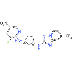 O=[N+]([O-])c1cnc(N[C@H]2CC[C@H](Nc3nc4cc(C(F)(F)F)ccn4n3)C2)c(F)c1